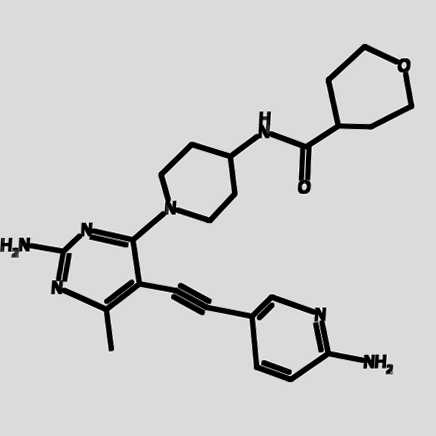 Cc1nc(N)nc(N2CCC(NC(=O)C3CCOCC3)CC2)c1C#Cc1ccc(N)nc1